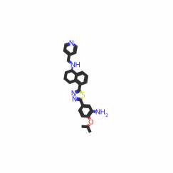 CC(C)Oc1ccc(-c2nnc(-c3cccc4c3CCC[C@H]4NCc3ccncc3)s2)cc1N